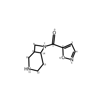 O=C(c1ccno1)N1CC2CNCCC21